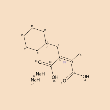 C/C(C(=O)O)=C(\CN1CCCCC1)C(=O)O.[NaH].[NaH]